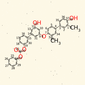 Cc1cc(-c2ccc(Oc3cc(O)cc(-c4cccc(OC(=O)Oc5ccccc5)c4)c3)c(C)c2)ccc1O